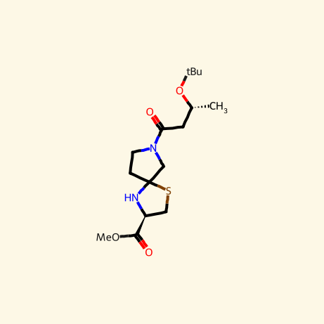 COC(=O)[C@@H]1CSC2(CCN(C(=O)C[C@@H](C)OC(C)(C)C)C2)N1